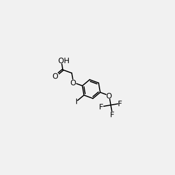 O=C(O)COc1ccc(OC(F)(F)F)cc1I